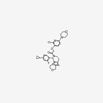 O=C(COc1ccc(N2CCOCC2)nc1Cl)N1CCc2nc3n(c2C1c1ccc(C2CC2)cc1F)CCOC3